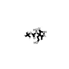 CC1=NNC(=O)C1(CCO)N(O)C(=O)OC(C)(C)C